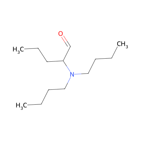 CCCCN(CCCC)C(C=O)CCC